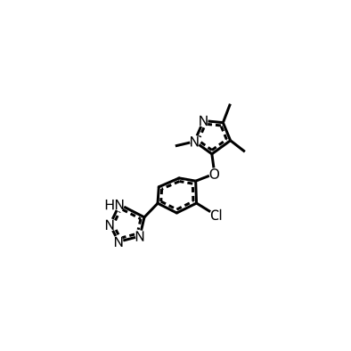 Cc1nn(C)c(Oc2ccc(-c3nnn[nH]3)cc2Cl)c1C